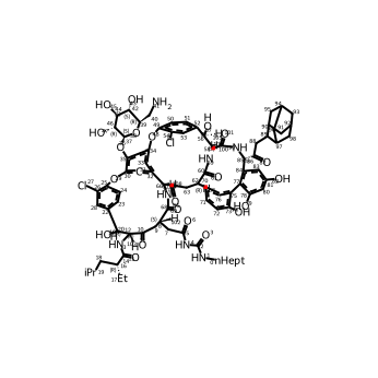 CCCCCCCNC(=O)NC(=O)C[C@@H]1CC(=O)[C@H](NC(=O)[C@H](CC)CC(C)C)[C@H](O)c2ccc(c(Cl)c2)Oc2cc3cc(c2O[C@@H]2O[C@H](CN)[C@@H](O)[C@H](O)[C@H]2O)Oc2ccc(cc2Cl)[C@@H](O)[C@@H]2NC(=O)[C@H](CC(=O)[C@@H]3NC1=O)c1ccc(O)c(c1)-c1c(O)cc(O)cc1[C@@H](C(=O)CC1C3CC4CC(C3)CC1C4)NC2=O